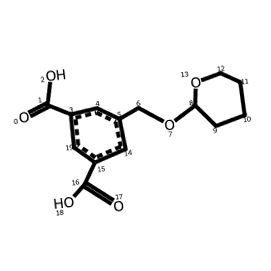 O=C(O)c1cc(COC2CCCCO2)cc(C(=O)O)c1